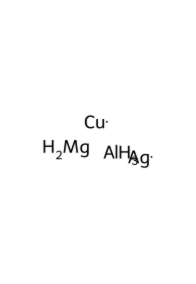 [Ag].[AlH3].[Cu].[MgH2]